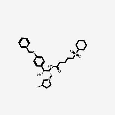 O=C(CCCCS(=O)(=O)C1CCCCC1)N[C@H](CN1CC[C@@H](F)C1)[C@H](O)c1ccc(OCc2ccccc2)cc1